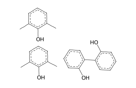 Cc1cccc(C)c1O.Cc1cccc(C)c1O.Oc1ccccc1-c1ccccc1O